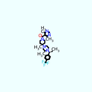 CC[C@@H](c1ccc(C(F)(F)F)cc1)N1CCN(C2(C)CCN(C(=O)c3c(C)ncnc3C)CC2)C[C@@H]1C